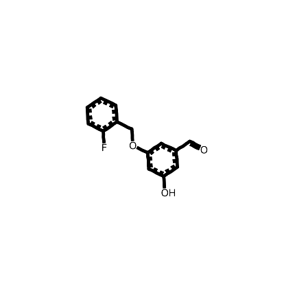 O=Cc1cc(O)cc(OCc2ccccc2F)c1